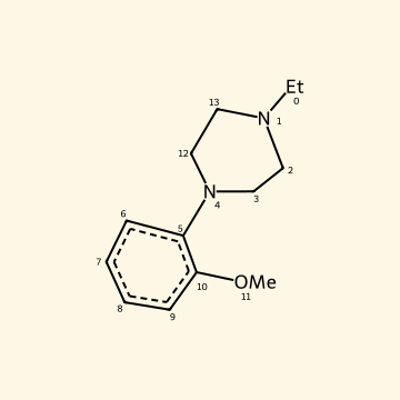 [CH2]CN1CCN(c2ccccc2OC)CC1